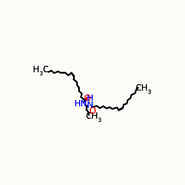 CCCCCCCC/C=C\CCCCCCCC(=O)NC(CCC)NC(=O)CCCCCCC/C=C\CCCCCCCC